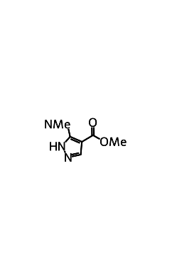 CNc1[nH]ncc1C(=O)OC